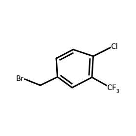 FC(F)(F)c1cc(CBr)ccc1Cl